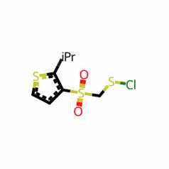 CC(C)c1sccc1S(=O)(=O)CSCl